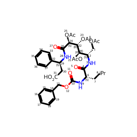 CC(=O)OC[C@H](NC(=O)[C@H](CC(C)C)NC(=O)OCc1ccccc1)[C@@H](OC(C)=O)[C@@H](OC(C)=O)[C@H](OC(C)=O)C(=O)N[C@@H](CC(=O)O)c1ccccc1